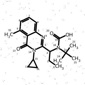 CCC(c1nc2cccc(C)c2c(=O)n1C1CC1)N(C(=O)O)C(C)(C)C